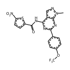 Cn1ncc2c(NC(=O)c3ccc([N+](=O)[O-])s3)nc(-c3ccc(OC(F)(F)F)cc3)nc21